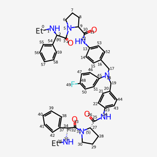 CCN[C@@H](C(=O)N1CCCC1C(=O)Nc1ccc(CN(Cc2ccc(NC(=O)[C@@H]3CCCN3C(=O)[C@H](NCC)c3ccccc3)cc2)c2ccc(F)cc2)cc1)c1ccccc1